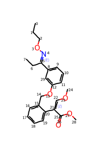 CCCO/N=C(\CC)c1cccc(OCc2ccccc2/C(=C/OC)C(=O)OC)c1